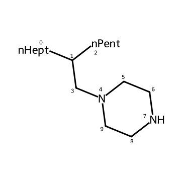 CCCCCCCC(CCCCC)CN1CCNCC1